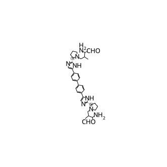 CC(CN1CCC[C@H]1c1ncc(-c2ccc(-c3ccc(-c4cnc([C@@H]5CCCN5CC(C)C(N)C=O)[nH]4)cc3)cc2)[nH]1)C(N)C=O